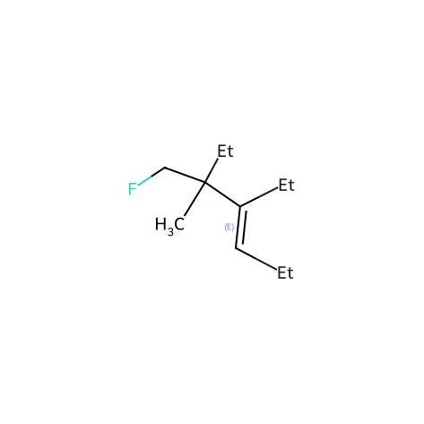 CC/C=C(\CC)C(C)(CC)CF